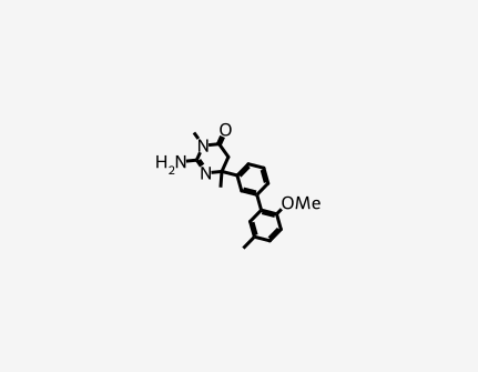 COc1ccc(C)cc1-c1cccc(C2(C)CC(=O)N(C)C(N)=N2)c1